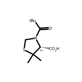 CC(C)(C)C(=O)N1CSC(C)(C)[C@H]1C(=O)O